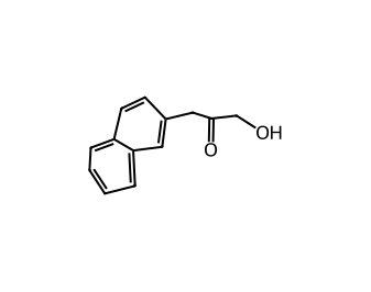 O=C(CO)Cc1ccc2ccccc2c1